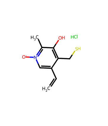 C=Cc1c[n+]([O-])c(C)c(O)c1CS.Cl